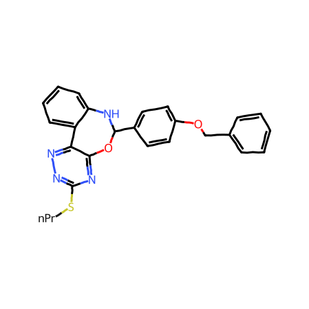 CCCSc1nnc2c(n1)OC(c1ccc(OCc3ccccc3)cc1)Nc1ccccc1-2